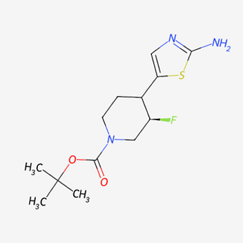 CC(C)(C)OC(=O)N1CCC(c2cnc(N)s2)[C@@H](F)C1